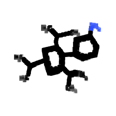 C=C(C)c1cc(C(C)C)cc(C(C)C)c1-c1cccc(N)c1